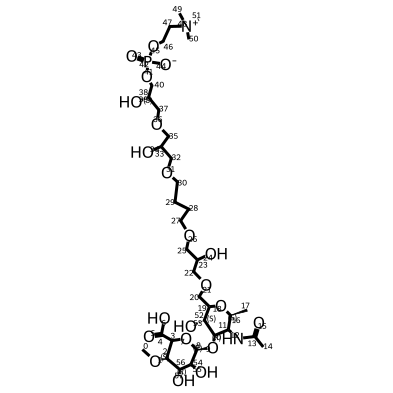 CO[C@@H]1C(C(=O)O)O[C@@H](O[C@@H]2C(NC(C)=O)[C@H](C)OC(COCC(O)COCCCCOCC(O)COC[C@H](O)COP(=O)([O-])OCC[N+](C)(C)C)[C@H]2O)C(O)[C@H]1O